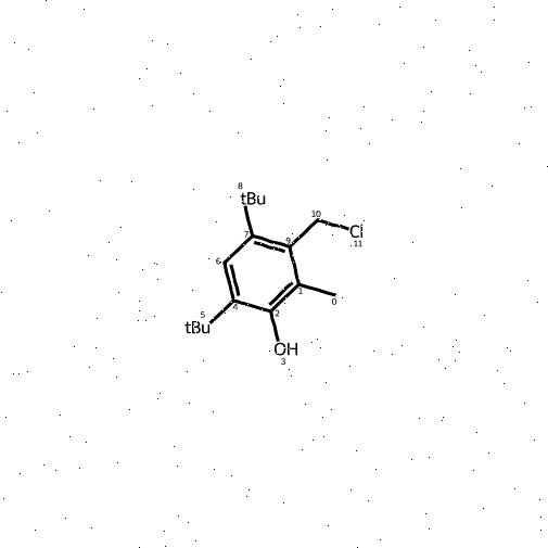 Cc1c(O)c(C(C)(C)C)cc(C(C)(C)C)c1CCl